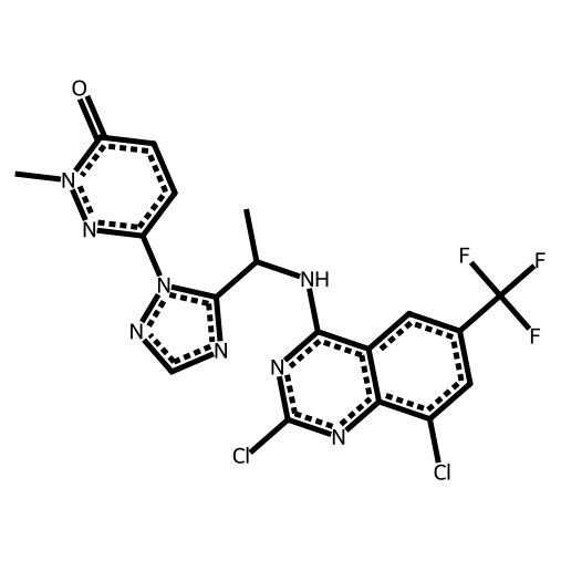 CC(Nc1nc(Cl)nc2c(Cl)cc(C(F)(F)F)cc12)c1ncnn1-c1ccc(=O)n(C)n1